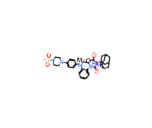 COC(=O)NC12CC3CC(C1)C(NC(=O)N1CCN(c4ccc(N5CCN(S(C)(=O)=O)CC5)cc4)c4ccccc41)C(C3)C2